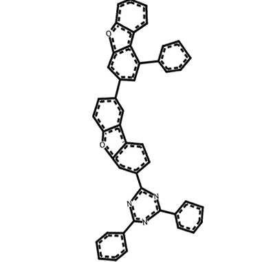 c1ccc(-c2nc(-c3ccccc3)nc(-c3ccc4c(c3)oc3ccc(-c5cc(-c6ccccc6)c6c(c5)oc5ccccc56)cc34)n2)cc1